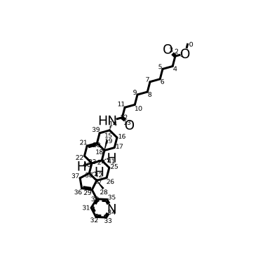 COC(=O)CCCCCCCCC(=O)N[C@@H]1CC[C@@]2(C)C(=CC[C@@H]3[C@@H]2CC[C@]2(C)C(c4cccnc4)=CC[C@@H]32)C1